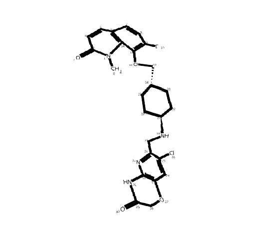 Cn1c(=O)ccc2ccc(F)c(OC[C@H]3CC[C@H](NCc4nc5c(cc4Cl)OCC(=O)N5)CC3)c21